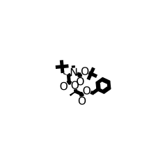 C[C@@H](OC(=O)[C@H](CC(C)(C)C)N(C)C(=O)OC(C)(C)C)C(=O)OCc1ccccc1